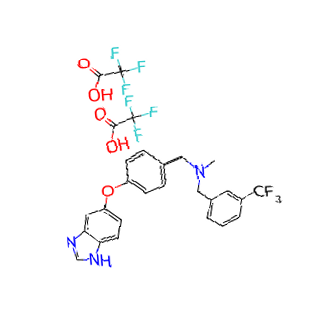 CN(Cc1ccc(Oc2ccc3[nH]cnc3c2)cc1)Cc1cccc(C(F)(F)F)c1.O=C(O)C(F)(F)F.O=C(O)C(F)(F)F